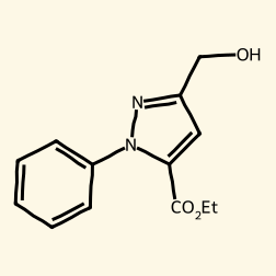 CCOC(=O)c1cc(CO)nn1-c1ccccc1